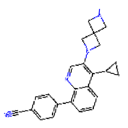 N#Cc1ccc(-c2cccc3c(C4CC4)c(N4CC5(CNC5)C4)cnc23)cc1